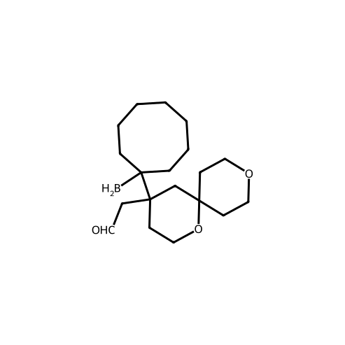 BC1(C2(CC=O)CCOC3(CCOCC3)C2)CCCCCCC1